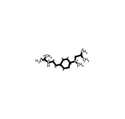 CC(C)CN(C)C1CCC(CCNC(C)C)CC1